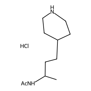 CC(=O)NC(C)CCC1CCNCC1.Cl